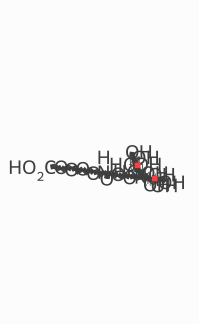 O=C(O)CCOCCOCCOCCOCCNC(=O)CCOCCOCCN(C[C@H](O)[C@@H](O)[C@H](O)[C@H](O)CO)C[C@H](O)[C@@H](O)[C@H](O)[C@H](O)CO